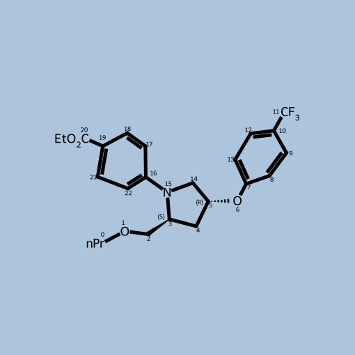 CCCOC[C@@H]1C[C@@H](Oc2ccc(C(F)(F)F)cc2)CN1c1ccc(C(=O)OCC)cc1